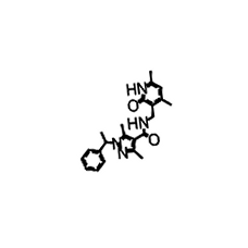 Cc1cc(C)c(CNC(=O)c2c(C)nn(C(C)c3ccccc3)c2C)c(=O)[nH]1